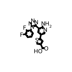 Nc1ncc(-c2cc(C(=O)O)cs2)cc1-c1nnnn1-c1cccc(F)c1F